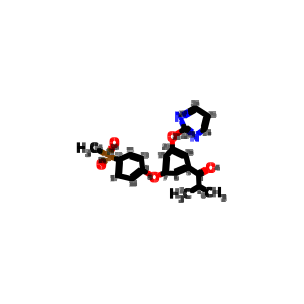 CC(C)C(=O)c1cc(Oc2ccc(S(C)(=O)=O)cc2)cc(Oc2ncccn2)c1